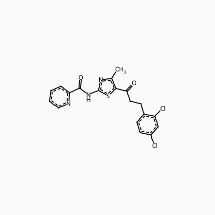 Cc1nc(NC(=O)c2ccccn2)sc1C(=O)CCc1ccc(Cl)cc1Cl